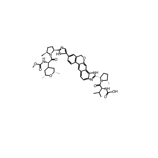 COC(=O)N[C@@H](C(=O)N1[C@@H](C)CC[C@H]1c1ncc(-c2ccc3c(c2)COc2cc4c(ccc5nc([C@@H]6CC[C@H](C)N6C(=O)[C@@H](NC(=O)O)C(C)C)[nH]c54)cc2-3)[nH]1)C1C[C@@H](C)O[C@@H](C)C1